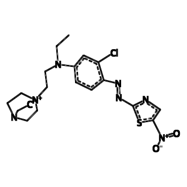 CCN(CC[N+]12CCN(CC1)CC2)c1ccc(N=Nc2ncc([N+](=O)[O-])s2)c(Cl)c1